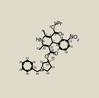 CC1=C(C(=O)OC(C)C)C(c2cccc([N+](=O)[O-])c2)C(C(=O)O[C@@]2(C)CCN(Cc3ccccc3)C2)=C(C)N1